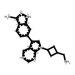 NCC1CC(n2cc(-c3ccc4c(N)n[nH]c4c3)c3cncnc32)C1